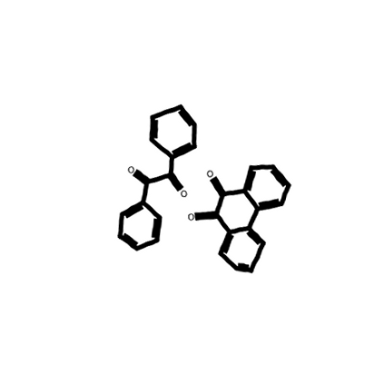 O=C(C(=O)c1ccccc1)c1ccccc1.O=C1C(=O)c2ccccc2-c2ccccc21